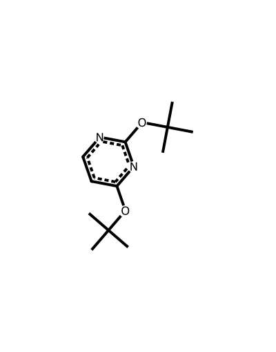 CC(C)(C)Oc1ccnc(OC(C)(C)C)n1